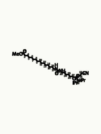 COC(=O)CCCCCCCCCCCCCCCNC(=O)NCCCCCCOP(OCCC#N)N(C(C)C)C(C)C